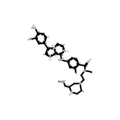 CNCC1CN(CCN(C)C(=O)c2ccc(Nc3nccn4c(-c5ccc(O)c(F)c5)cnc34)cc2C)CCO1